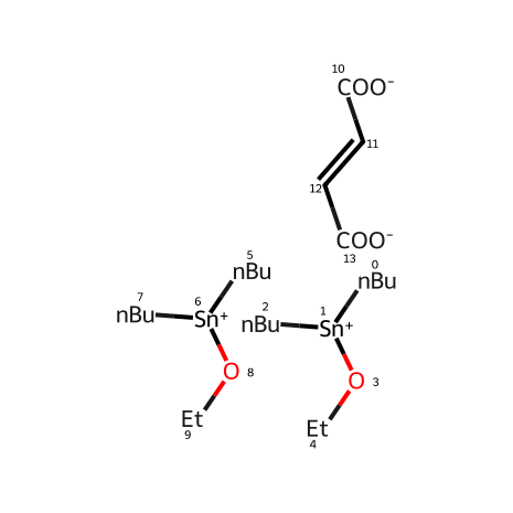 CCC[CH2][Sn+]([CH2]CCC)[O]CC.CCC[CH2][Sn+]([CH2]CCC)[O]CC.O=C([O-])C=CC(=O)[O-]